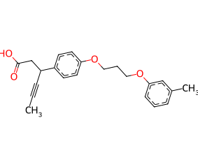 CC#CC(CC(=O)O)c1ccc(OCCCOc2cccc(C)c2)cc1